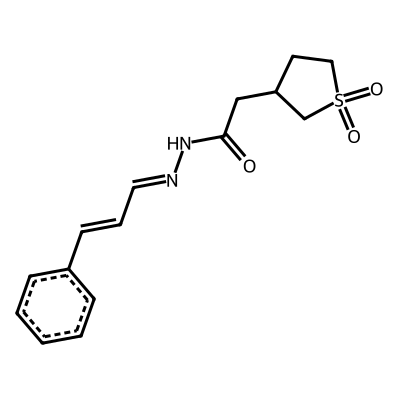 O=C(CC1CCS(=O)(=O)C1)N/N=C/C=C/c1ccccc1